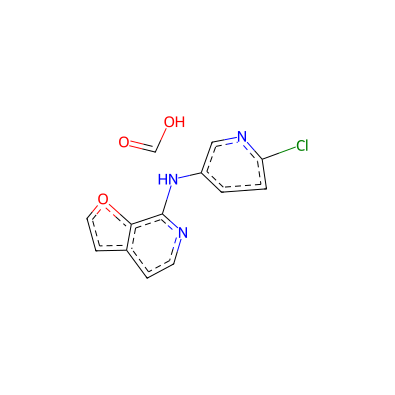 Clc1ccc(Nc2nccc3ccoc23)cn1.O=CO